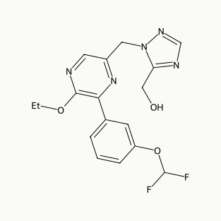 CCOc1ncc(Cn2ncnc2CO)nc1-c1cccc(OC(F)F)c1